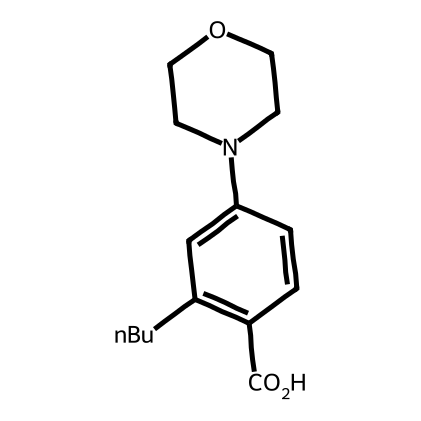 CCCCc1cc(N2CCOCC2)ccc1C(=O)O